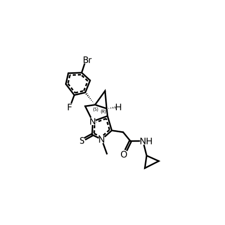 Cn1c(CC(=O)NC2CC2)c2n(c1=S)C[C@@]1(c3cc(Br)ccc3F)C[C@@H]21